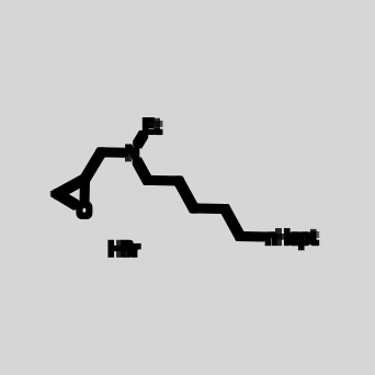 Br.CCCCCCCCCCCCN(CC)CC1CO1